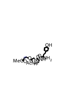 COC(=O)/C=C\COC(=O)CNC(=O)[C@H](CNC(C)=O)NC(=O)[C@@H](N)CCc1ccc(O)cc1